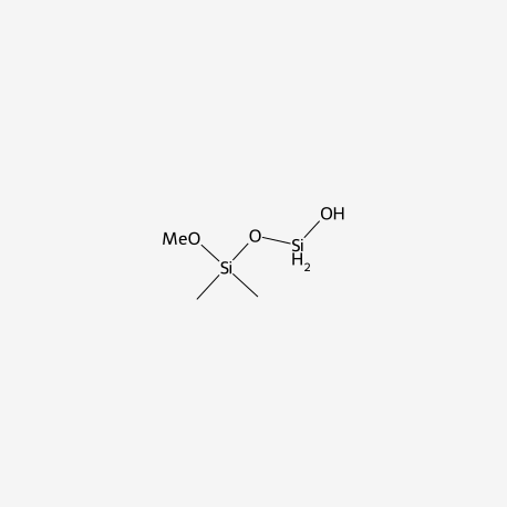 CO[Si](C)(C)O[SiH2]O